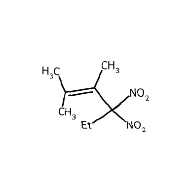 CCC(C(C)=C(C)C)([N+](=O)[O-])[N+](=O)[O-]